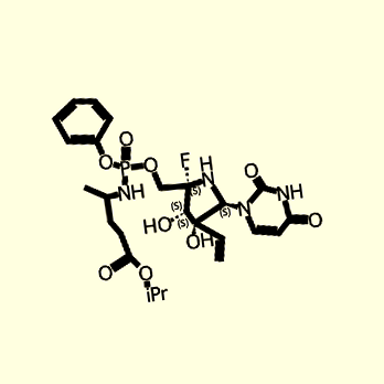 C=C[C@]1(O)[C@H](n2ccc(=O)[nH]c2=O)N[C@](F)(COP(=O)(NC(C)CCC(=O)OC(C)C)Oc2ccccc2)[C@H]1O